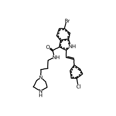 O=C(NCCCN1CCNCC1)c1c(/C=C/c2ccc(Cl)cc2)[nH]c2cc(Br)ccc12